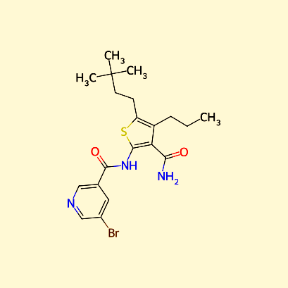 CCCc1c(CCC(C)(C)C)sc(NC(=O)c2cncc(Br)c2)c1C(N)=O